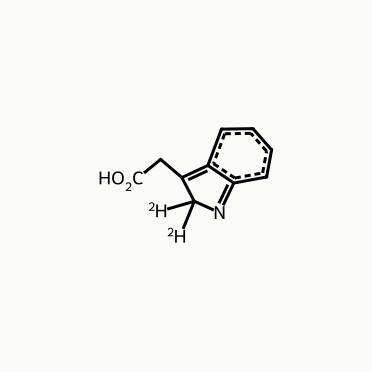 [2H]C1([2H])N=c2ccccc2=C1CC(=O)O